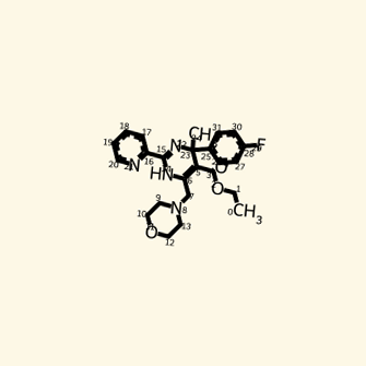 CCOC(=O)C1=C(CN2CCOCC2)NC(c2ccccn2)=NC1(C)c1ccc(F)cc1